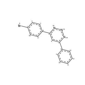 Brc1ccc(-c2cc(-c3ccccc3)nnn2)cc1